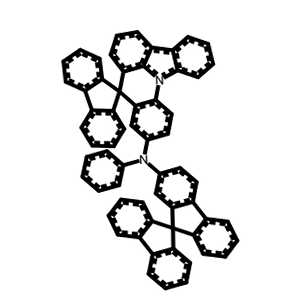 c1ccc(N(c2ccc3c(c2)C2(c4ccccc4-c4ccccc42)c2ccccc2-3)c2ccc3c(c2)C2(c4ccccc4-c4ccccc42)c2cccc4c5ccccc5n-3c24)cc1